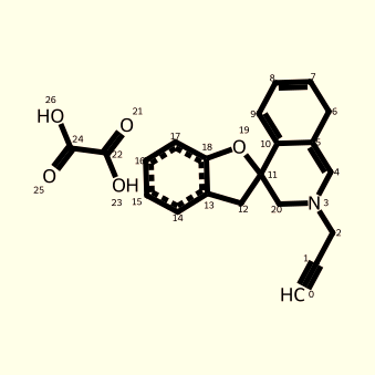 C#CCN1C=C2CC=CC=C2C2(Cc3ccccc3O2)C1.O=C(O)C(=O)O